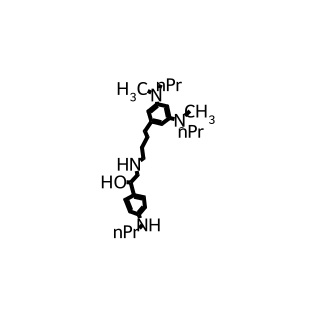 CCCNc1ccc(C(O)CNCCCCc2cc(N(C)CCC)cc(N(C)CCC)c2)cc1